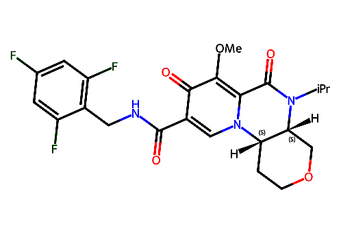 COc1c2n(cc(C(=O)NCc3c(F)cc(F)cc3F)c1=O)[C@H]1CCOC[C@H]1N(C(C)C)C2=O